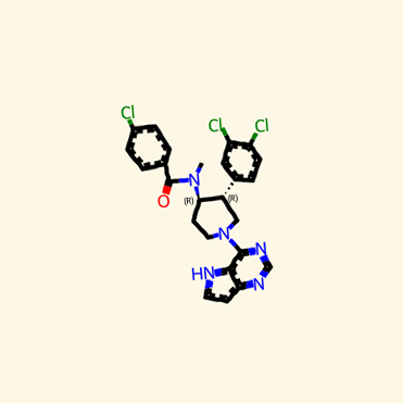 CN(C(=O)c1ccc(Cl)cc1)[C@@H]1CCN(c2ncnc3cc[nH]c23)C[C@H]1c1ccc(Cl)c(Cl)c1